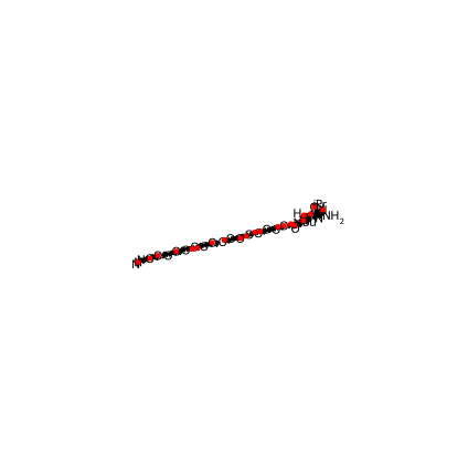 CCCCc1nc2c(N)nnc(OC(C)C)c2n1Cc1ccc(CNC(=O)CCOCCOCCOCCOCCOCCOCCOCCOCCOCCOCCOCCOCCOCCOCCOCCOCCN=[N+]=[N-])cc1